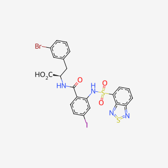 O=C(N[C@H](Cc1cccc(Br)c1)C(=O)O)c1ccc(I)cc1NS(=O)(=O)c1cccc2nsnc12